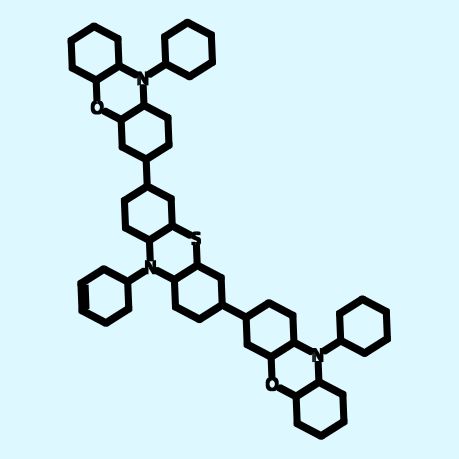 C1=CCC(N2C3CCC(C4CCC5C(C4)OC4CCCCC4N5C4CCCCC4)CC3SC3CC(C4CCC5C(C4)OC4CCCCC4N5C4CCCCC4)CCC32)CC1